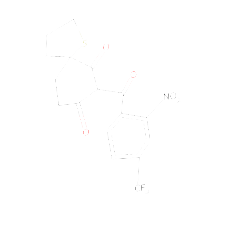 O=C1CCC2(CCCS2)C(=O)C1C(=O)c1ccc(C(F)(F)F)cc1[N+](=O)[O-]